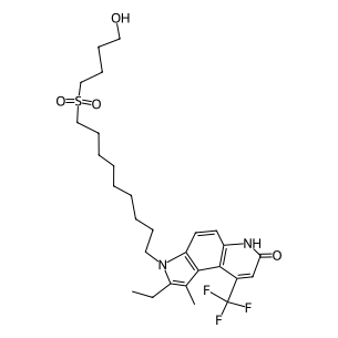 CCc1c(C)c2c3c(C(F)(F)F)cc(=O)[nH]c3ccc2n1CCCCCCCCCS(=O)(=O)CCCCO